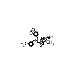 C=C(NCCC)c1csc(CN(Cc2cccc(C(F)(F)F)c2)Cc2ccc3c(c2)OCO3)n1